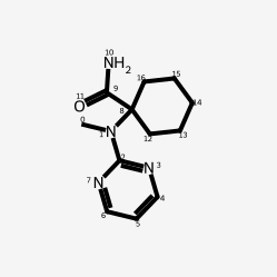 CN(c1ncccn1)C1(C(N)=O)CCCCC1